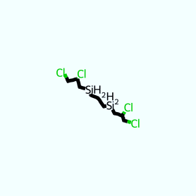 ClCC(Cl)C[SiH2]CCC[SiH2]CC(Cl)CCl